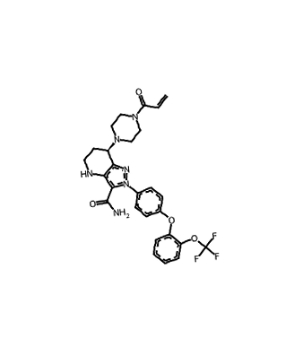 C=CC(=O)N1CCN([C@@H]2CCNc3c2nn(-c2ccc(Oc4ccccc4OC(F)(F)F)cc2)c3C(N)=O)CC1